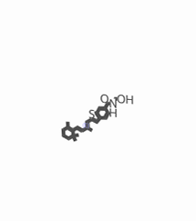 CC1=C(C=C/C(C)=C/c2cc3ccc(C(=O)NCO)cc3s2)C(C)(C)CCC1